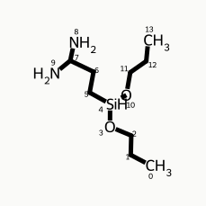 CCCO[SiH](CCC(N)N)OCCC